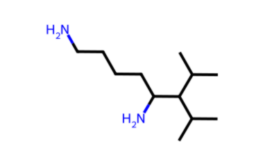 CC(C)C(C(C)C)C(N)CCCCN